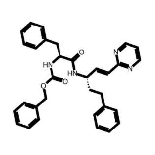 O=C(N[C@@H](Cc1ccccc1)C(=O)N[C@H](/C=C/c1ncccn1)CCc1ccccc1)OCc1ccccc1